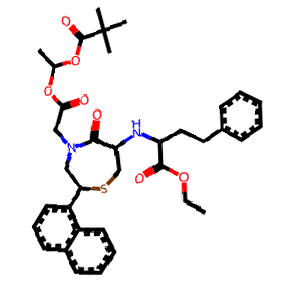 CCOC(=O)C(CCc1ccccc1)NC1CSC(c2cccc3ccccc23)CN(CC(=O)OC(C)OC(=O)C(C)(C)C)C1=O